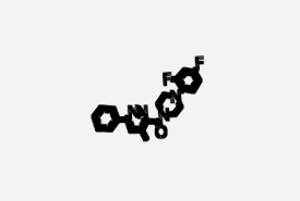 Cc1cc(-c2ccccc2)nnc1C(=O)N1CCN(c2ccc(F)cc2F)CC1